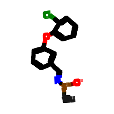 CC(C)(C)[S+]([O-])N=Cc1cccc(Oc2ccccc2Cl)c1